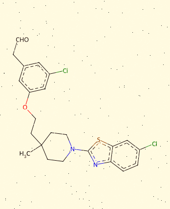 CC1(CCOc2cc(Cl)cc(CC=O)c2)CCN(c2nc3ccc(Cl)cc3s2)CC1